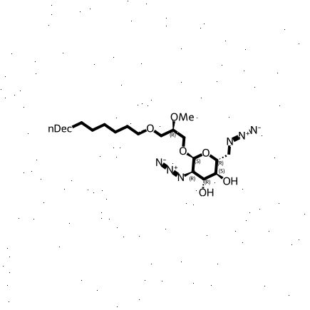 CCCCCCCCCCCCCCCCOC[C@H](CO[C@H]1O[C@H](CN=[N+]=[N-])[C@@H](O)[C@H](O)[C@H]1N=[N+]=[N-])OC